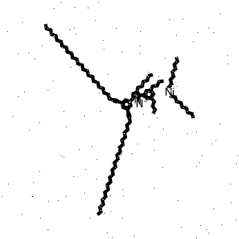 CCCCCCCCCCCCCCCCCCCCCCCCCCC#Cc1cc(C#CCCCCCCCCCCCCCCCCCCCCCCCCCC)cc(C2=CC(CCCCCC)=C(c3cc(CCCC)cc(CCCC)c3)[N+]2=[N-])c1.CCCCCCCC[CH2][Ni][CH2]CCCCCCCC